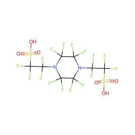 O=S(=O)(O)C(F)(F)C(F)(F)N1C(F)(F)C(F)(F)N(C(F)(F)C(F)(F)S(=O)(=O)O)C(F)(F)C1(F)F